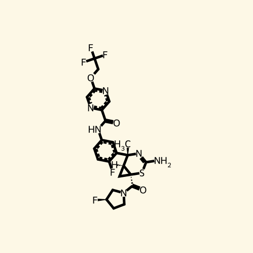 C[C@@]1(c2cc(NC(=O)c3cnc(OCC(F)(F)F)cn3)ccc2F)N=C(N)S[C@@]2(C(=O)N3CC[C@@H](F)C3)C[C@@H]12